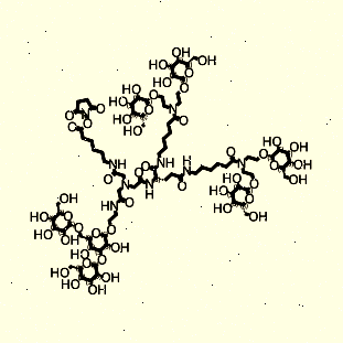 O=C(CC[C@H](NC(=O)CN(CC(=O)NCCCCCC(=O)ON1C(=O)CCC1=O)CC(=O)NCCO[C@H]1O[C@H](CO[C@H]2O[C@H](CO)[C@@H](O)[C@H](O)[C@@H]2O)[C@@H](O)[C@H](O[C@H]2O[C@H](CO)[C@@H](O)[C@H](O)[C@@H]2O)[C@@H]1O)C(=O)NCCCCCC(=O)N(CCO[C@H]1O[C@H](CO)[C@@H](O)[C@H](O)[C@@H]1O)CCO[C@H]1O[C@H](CO)[C@@H](O)[C@H](O)[C@@H]1O)NCCCCCC(=O)N(CCO[C@H]1O[C@H](CO)[C@@H](O)[C@H](O)[C@@H]1O)CCO[C@H]1O[C@H](CO)[C@@H](O)[C@H](O)[C@@H]1O